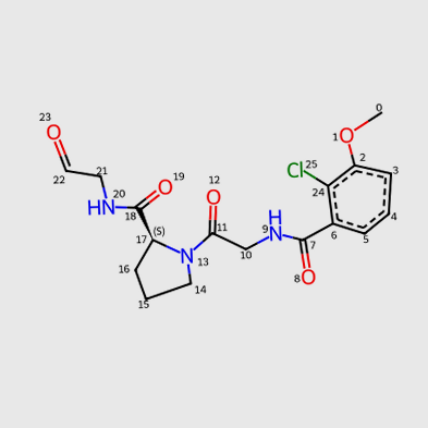 COc1cccc(C(=O)NCC(=O)N2CCC[C@H]2C(=O)NCC=O)c1Cl